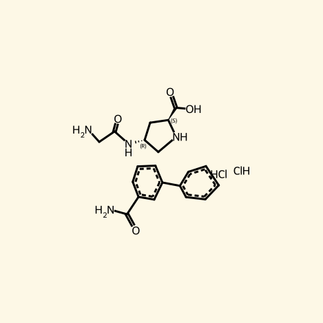 Cl.Cl.NC(=O)c1cccc(-c2ccccc2)c1.NCC(=O)N[C@H]1CN[C@H](C(=O)O)C1